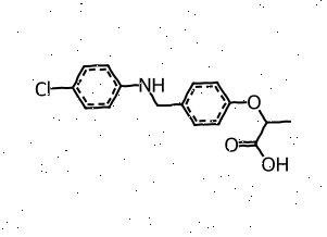 CC(Oc1ccc(CNc2ccc(Cl)cc2)cc1)C(=O)O